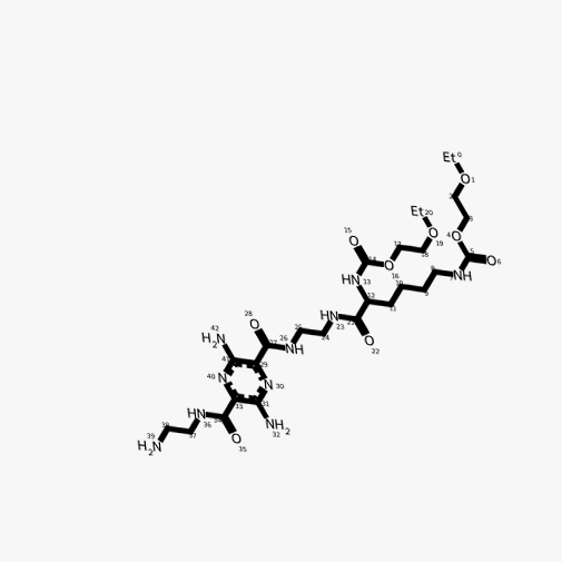 CCOCCOC(=O)NCCCCC(NC(=O)OCCOCC)C(=O)NCCNC(=O)c1nc(N)c(C(=O)NCCN)nc1N